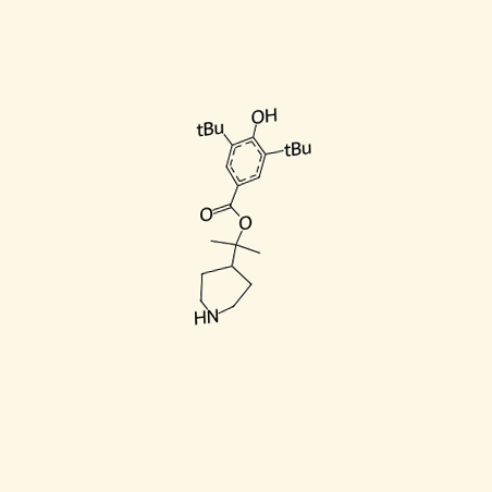 CC(C)(C)c1cc(C(=O)OC(C)(C)C2CCNCC2)cc(C(C)(C)C)c1O